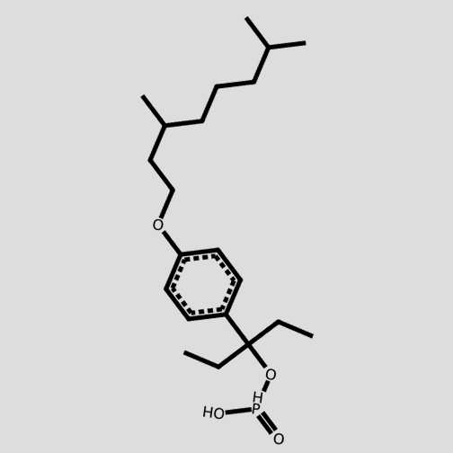 CCC(CC)(O[PH](=O)O)c1ccc(OCCC(C)CCCC(C)C)cc1